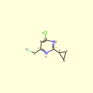 FCc1cc(Cl)nc(C2CC2)n1